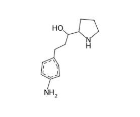 Nc1ccc(CCC(O)C2CCCN2)cc1